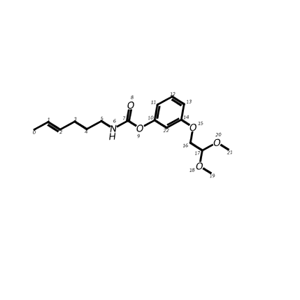 C/C=C/CCCNC(=O)Oc1cccc(OCC(OC)OC)c1